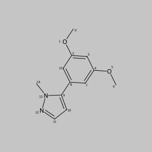 COc1cc(OC)cc(-c2ccnn2C)c1